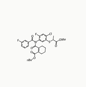 CCCCOC(=O)C1=C(C(=O)N(C(=O)c2cccc(F)c2)c2cc(SC(C)C(=O)OC)c(Cl)cc2F)CCCC1